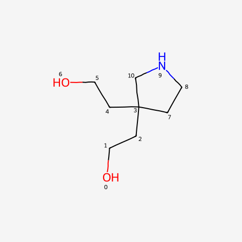 OCCC1(CCO)CCNC1